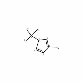 CC1=C[C](C(C)(C)C)C=C1